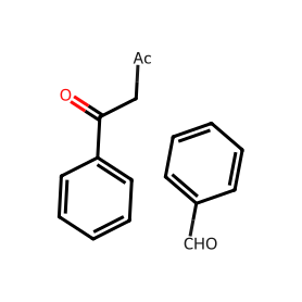 CC(=O)CC(=O)c1ccccc1.O=Cc1ccccc1